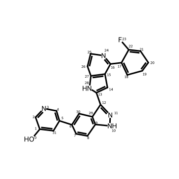 Oc1cncc(-c2ccc3[nH]nc(-c4cc5c(-c6ccccc6F)nccc5[nH]4)c3c2)c1